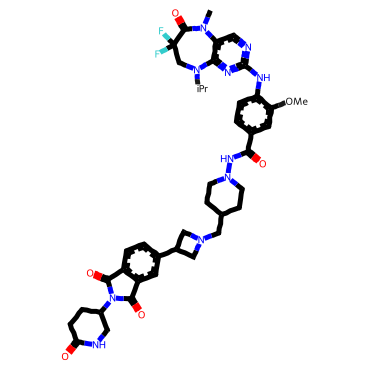 COc1cc(C(=O)NN2CCC(CN3CC(c4ccc5c(c4)C(=O)N(C4CCC(=O)NC4)C5=O)C3)CC2)ccc1Nc1ncc2c(n1)N(C(C)C)CC(F)(F)C(=O)N2C